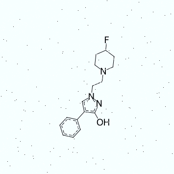 Oc1nn(CCN2CCC(F)CC2)cc1-c1ccccc1